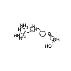 Nc1cc(Cc2cnn(Cc3cccc(O[C@H]4CN[C@H](CO)C4)c3)c2)c2nn[nH]c2n1